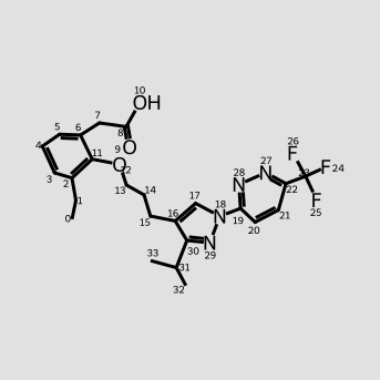 CCc1cccc(CC(=O)O)c1OCCCc1cn(-c2ccc(C(F)(F)F)nn2)nc1C(C)C